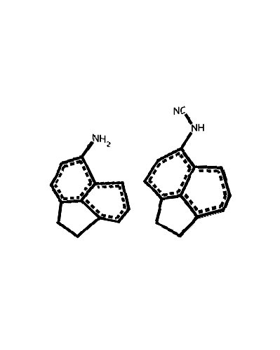 N#CNc1ccc2c3c(cccc13)CC2.Nc1ccc2c3c(cccc13)CC2